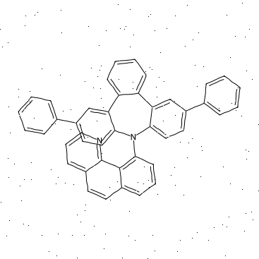 c1ccc(-c2ccc3c(c2)-c2ccccc2-c2cc(-c4ccccc4)ccc2N3c2cccc3ccc4cccnc4c23)cc1